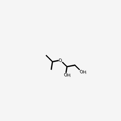 CC(C)OC(O)CO